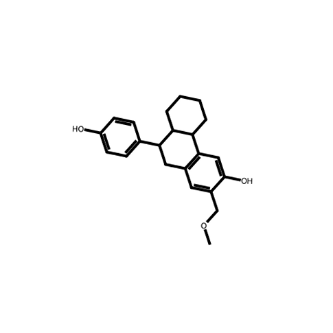 COCc1cc2c(cc1O)C1CCCCC1C(c1ccc(O)cc1)C2